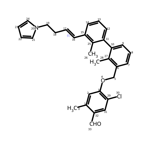 Cc1cc(OCc2cccc(-c3cccc(/C=C/CCn4cccc4)c3C)c2C)c(Cl)cc1C=O